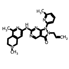 C=CCn1c(=O)c2cnc(Nc3cc4c(c(C)n3)CCN(C)C4)nc2n1-c1cccc(C)n1